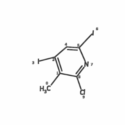 Cc1c(I)cc(I)nc1Cl